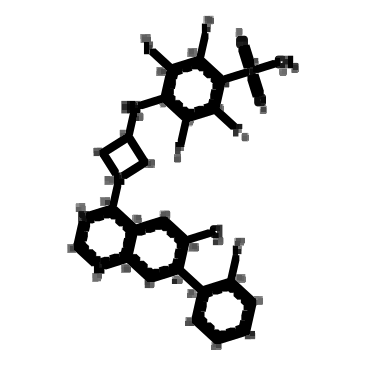 CS(=O)(=O)c1c(F)c(F)c(NC2CN(c3ncnc4cc(-c5ccccc5F)c(Cl)cc34)C2)c(F)c1F